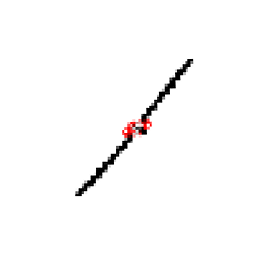 C=C[Si](OC)(OC(=O)CCCCCCCC=CCCCCCCCC)OC(=O)CCCCCCCC=CCCCCCCCC